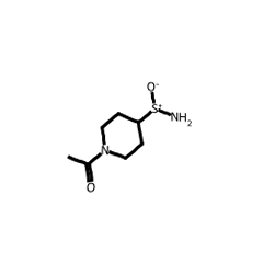 CC(=O)N1CCC([S+](N)[O-])CC1